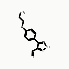 CCCOc1ccc(-c2n[nH]nc2C=O)cc1